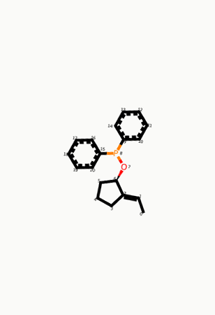 CC=C1CCC[C@H]1OP(c1ccccc1)c1ccccc1